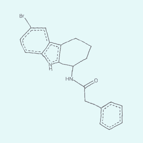 O=C(Cc1ccccc1)NC1CCCc2c1[nH]c1ccc(Br)cc21